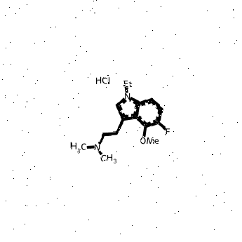 CCn1cc(CCN(C)C)c2c(OC)c(F)ccc21.Cl